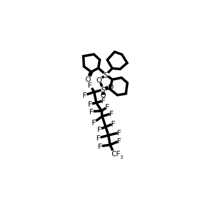 O=C1CCCCC1S(OS(=O)(=O)C(F)(F)C(F)(F)C(F)(F)C(F)(F)C(F)(F)C(F)(F)C(F)(F)C(F)(F)F)(C1CCCCC1)C1CCCCC1